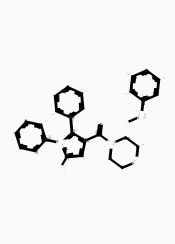 Cc1cc(C(=O)N2CCNC[C@H]2CNc2ccccc2)c(-c2ccccc2)n1-c1ccccc1